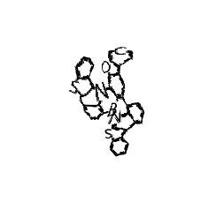 c1ccc2c(c1)SC1c3cccc4c3N(c3c5c(cc6c3oc3ccccc36)-c3cccc6c7c8ccccc8sc7n(c36)B45)C21